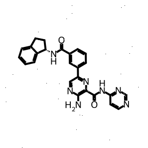 Nc1ncc(-c2cccc(C(=O)N[C@H]3CCc4ccccc43)c2)nc1C(=O)Nc1ccncn1